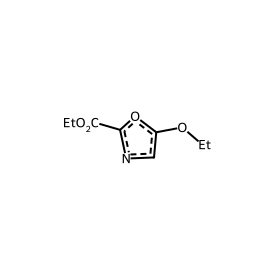 CCOC(=O)c1ncc(OCC)o1